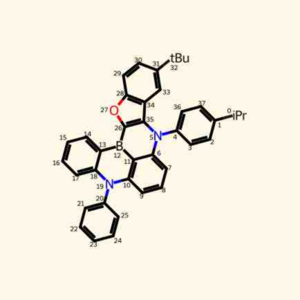 CC(C)c1ccc(N2c3cccc4c3B(c3ccccc3N4c3ccccc3)c3oc4ccc(C(C)(C)C)cc4c32)cc1